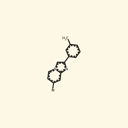 Cc1cccc(-c2cn3ccc(Br)cc3n2)c1